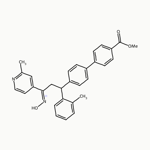 COC(=O)c1ccc(-c2ccc(C(C/C(=N/O)c3ccnc(C)c3)c3ccccc3C)cc2)cc1